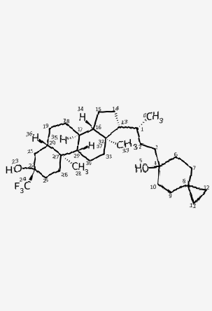 C[C@H](CCC1(O)CCC2(CC1)CC2)[C@H]1CC[C@H]2[C@@H]3CC[C@H]4C[C@](O)(C(F)(F)F)CC[C@]4(C)[C@H]3CC[C@]12C